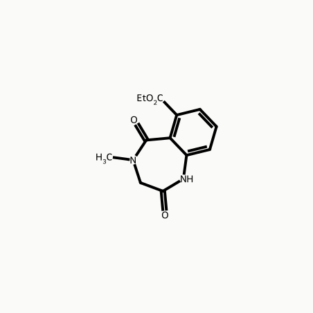 CCOC(=O)c1cccc2c1C(=O)N(C)CC(=O)N2